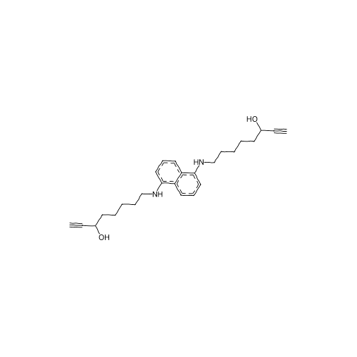 C#CC(O)CCCCCNc1cccc2c(NCCCCCC(O)C#C)cccc12